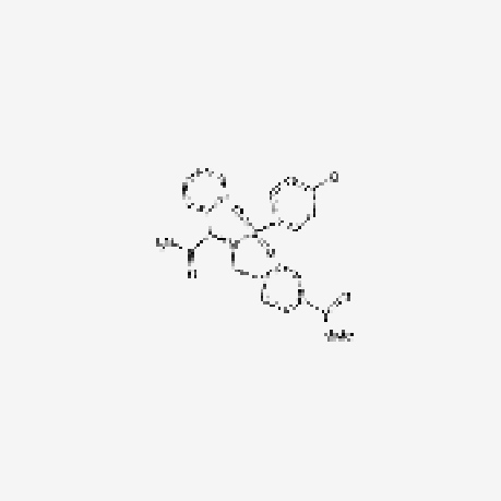 CNC(=O)c1ccc(CN([C@@H](C(N)=O)c2ccccc2)S(=O)(=O)c2ccc(Cl)cc2)cc1